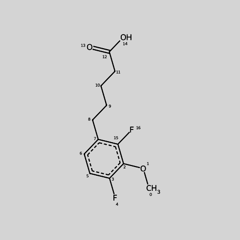 COc1c(F)ccc(CCCCC(=O)O)c1F